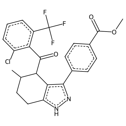 COC(=O)c1ccc(-c2n[nH]c3c2C(C(=O)c2c(Cl)cccc2C(F)(F)F)C(C)CC3)cc1